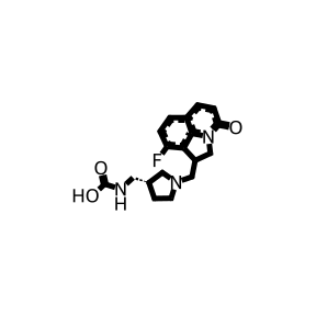 O=C(O)NC[C@H]1CCN(CC2Cn3c(=O)ccc4ccc(F)c2c43)C1